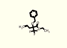 C=CCC(OCc1ccccc1)(C(=O)OCC)C(F)(F)F